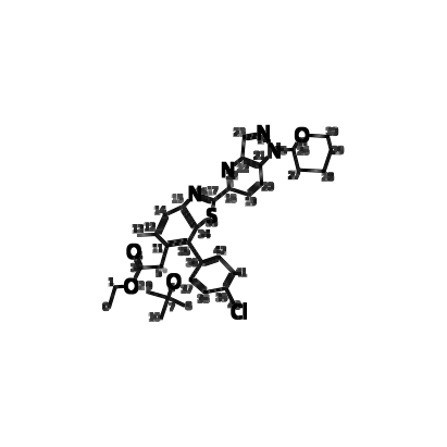 CCOC(=O)[C@@H](OC(C)(C)C)c1c(C)cc2nc(-c3ccc4c(cnn4C4CCCCO4)n3)sc2c1-c1ccc(Cl)cc1